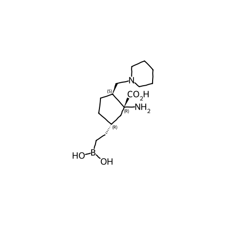 N[C@]1(C(=O)O)C[C@H](CCB(O)O)CC[C@H]1CN1CCCCC1